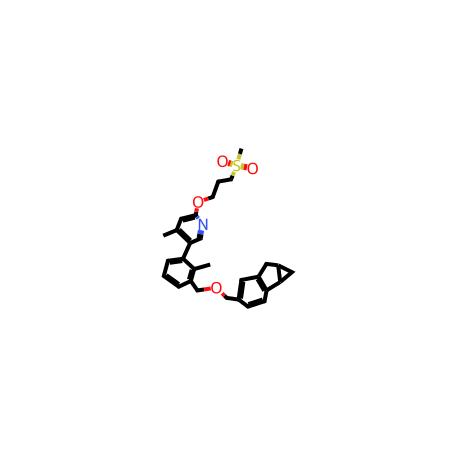 Cc1cc(OCCCS(C)(=O)=O)ncc1-c1cccc(COCc2ccc3c(c2)CC2CC32)c1C